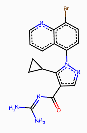 NC(N)=NC(=O)c1cnn(-c2ccc(Br)c3ncccc23)c1C1CC1